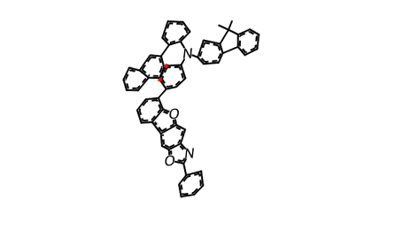 CC1(C)c2ccccc2-c2ccc(N(c3ccc(-c4cccc5c4oc4cc6nc(-c7ccccc7)oc6cc45)cc3)c3ccccc3-c3ccc4ccccc4c3)cc21